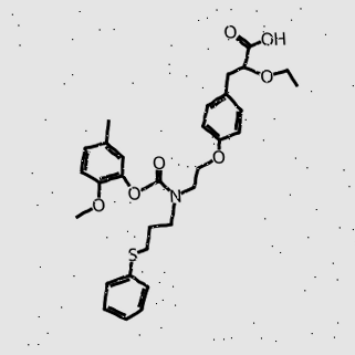 CCOC(Cc1ccc(OCCN(CCCSc2ccccc2)C(=O)Oc2cc(C)ccc2OC)cc1)C(=O)O